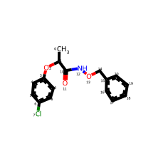 CC(Oc1ccc(Cl)cc1)C(=O)NOCc1ccccc1